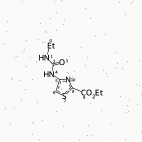 CCNC(=O)Nc1csc(C(=O)OCC)n1